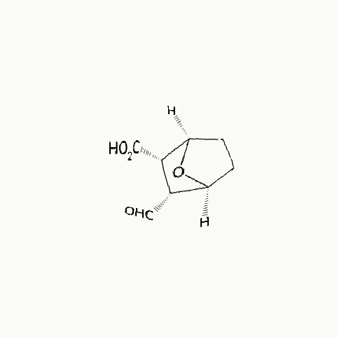 O=C[C@@H]1[C@H](C(=O)O)[C@H]2CC[C@@H]1O2